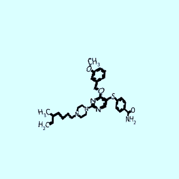 C=CC(C)CCCCN1CCN(c2ncc(Sc3ccc(C(N)=O)cc3)c(OCc3cccc(OC)c3)n2)CC1